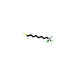 SCCCCCCCC[Si](Cl)(Cl)Cl